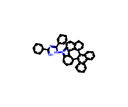 N=C(/N=C(\Nn1c2cccc3c2c2c4c(cccc4ccc21)-c1c-3c2ccccc2c2ccccc12)c1ccccc1)c1ccccc1